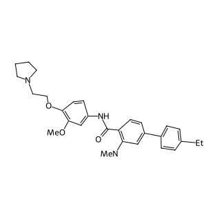 CCc1ccc(-c2ccc(C(=O)Nc3ccc(OCCN4CCCC4)c(OC)c3)c(NC)c2)cc1